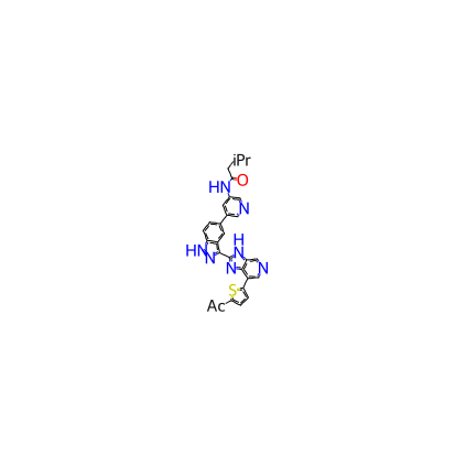 CC(=O)c1ccc(-c2cncc3[nH]c(-c4n[nH]c5ccc(-c6cncc(NC(=O)CC(C)C)c6)cc45)nc23)s1